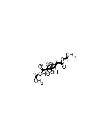 C=COC(=O)CCC(O)(O)C(O)(O)C(=O)OC=C